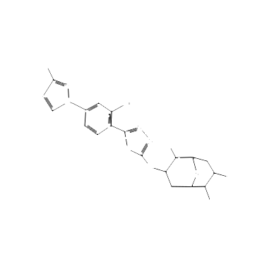 Cc1ccn(-c2ccc(-c3nnc(OC4CC5NC(CC(F)C5F)C4F)s3)c(O)c2)n1